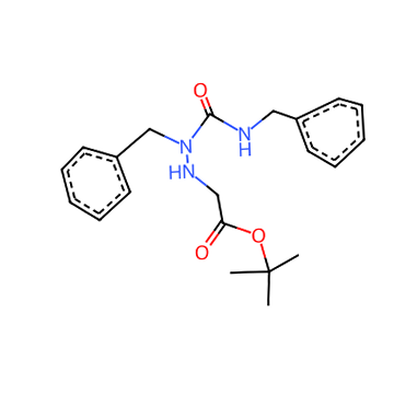 CC(C)(C)OC(=O)CNN(Cc1ccccc1)C(=O)NCc1ccccc1